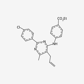 C=CCc1c(C)nc(-c2ccc(Cl)cc2)nc1Nc1ccc(C(=O)OCC)cc1